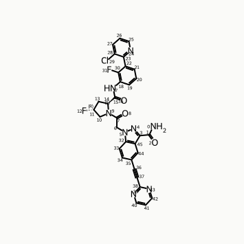 NC(=O)c1nn(CC(=O)N2C[C@H](F)C[C@H]2C(=O)Nc2cccc(-c3ncccc3Cl)c2F)c2ccc(C#Cc3ncccn3)cc12